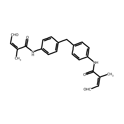 C/C(=C/C=O)C(=O)Nc1ccc(Cc2ccc(NC(=O)/C(C)=C\C=O)cc2)cc1